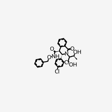 C[C@H](O)C(CO)N1C(=O)c2ccccc2[C@H](C(=O)NOCc2ccccc2)[C@H]1c1ccc(Cl)cc1Cl